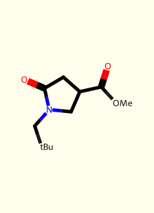 COC(=O)C1CC(=O)N(CC(C)(C)C)C1